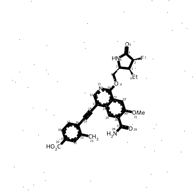 CC[C@@H]1[C@H](F)C(=O)N[C@@H]1COc1ncc(C#Cc2ccc(C(=O)O)cc2C)c2cc(C(N)=O)c(OC)cc12